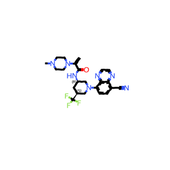 C=C(C(=O)N[C@@H]1C[C@H](C(F)(F)F)CN(c2ccc(C#N)c3nccnc23)C1)N1CCN(C)CC1